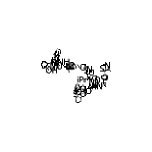 Cc1ncsc1-c1ccc([C@H](C)NC(=O)[C@@H]2C[C@@H](OC(=O)OCC3(SS(C)(=O)=O)CCCCC3)CN2C(=O)[C@@H](c2cc(OCCN3CCN(CCOc4cc(N5C6CCC5CN(c5cc(-c7ccccc7O)nnc5N)C6)ccn4)[C@H](C)C3)no2)C(C)C)cc1